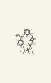 CC(C)(C)OC(=O)NC1CC(Oc2cccnc2)C1.OB(O)c1cccnc1